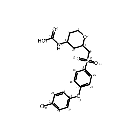 O=C(O)NC1CCOC(CS(=O)(=O)c2ccc(Oc3ccc(Cl)cc3)cc2)C1